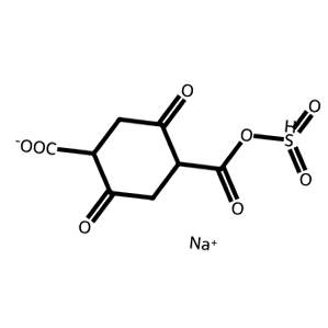 O=C([O-])C1CC(=O)C(C(=O)O[SH](=O)=O)CC1=O.[Na+]